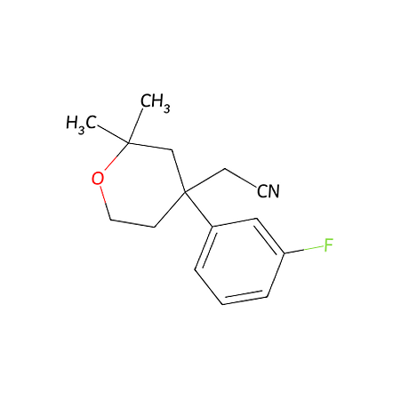 CC1(C)CC(CC#N)(c2cccc(F)c2)CCO1